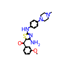 COc1cccc(C(=O)c2sc(Nc3ccc(N4CCN(C)CC4)cc3)nc2N)c1